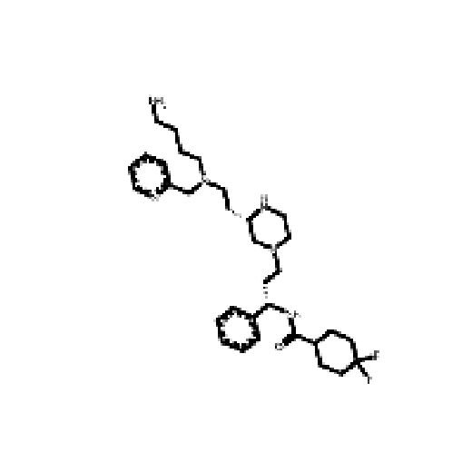 NCCCCN(CC[C@H]1CN(CC[C@H](NC(=O)C2CCC(F)(F)CC2)c2ccccc2)CCN1)Cc1ccccn1